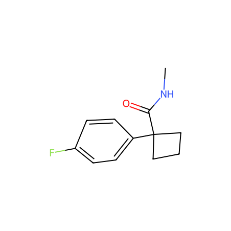 CNC(=O)C1(c2ccc(F)cc2)CCC1